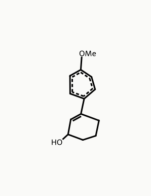 COc1ccc(C2=CC(O)CCC2)cc1